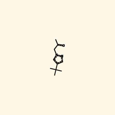 CC(=O)Cn1cc(C(C)(C)C)cn1